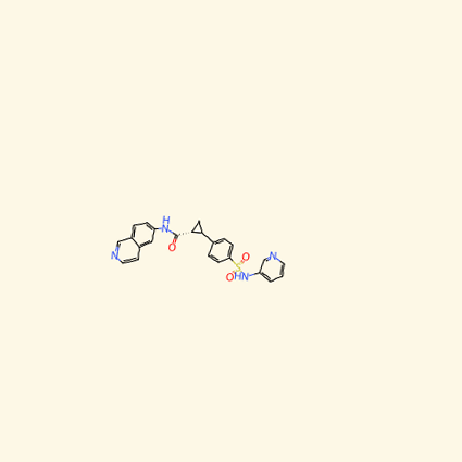 O=C(Nc1ccc2cnccc2c1)[C@@H]1CC1c1ccc(S(=O)(=O)Nc2cccnc2)cc1